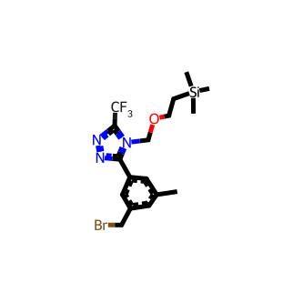 Cc1cc(CBr)cc(-c2nnc(C(F)(F)F)n2COCC[Si](C)(C)C)c1